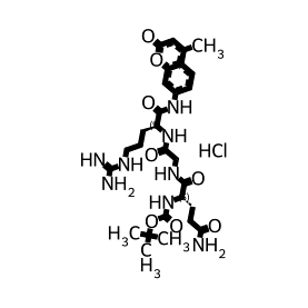 Cc1cc(=O)oc2cc(NC(=O)[C@H](CCCNC(=N)N)NC(=O)CNC(=O)[C@H](CCC(N)=O)NC(=O)OC(C)(C)C)ccc12.Cl